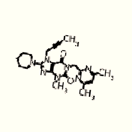 CC#CCn1c(N2CCCCC2)nc2c1c(=O)n(Cc1nc(C)cc(C)n1)c(=O)n2C